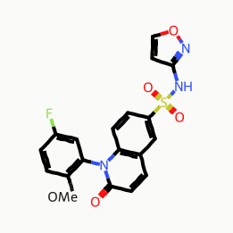 COc1ccc(F)cc1-n1c(=O)ccc2cc(S(=O)(=O)Nc3ccon3)ccc21